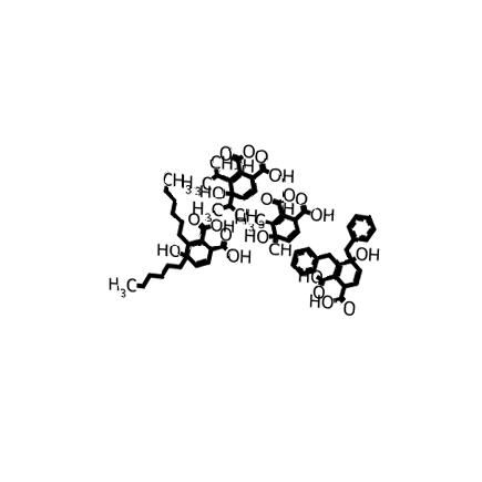 CC(C)C1=C(C(=O)O)C(C(=O)O)C=CC1(O)C(C)C.CC1=C(C(=O)O)C(C(=O)O)C=CC1(C)O.CCCCCCC1=C(C(=O)O)C(C(=O)O)C=CC1(O)CCCCCC.O=C(O)C1=C(Cc2ccccc2)C(O)(Cc2ccccc2)C=CC1C(=O)O